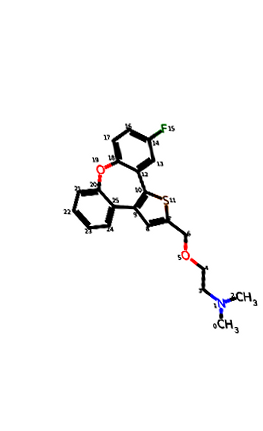 CN(C)CCOCc1cc2c(s1)-c1cc(F)ccc1Oc1ccccc1-2